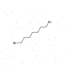 CC(=O)CCCCCCCBr